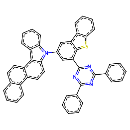 c1ccc(-c2nc(-c3ccccc3)nc(-c3cc(-n4c5ccccc5c5c6ccc7ccccc7c6ccc54)cc4c3sc3ccccc34)n2)cc1